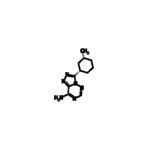 C[C@@H]1CCC[C@H](c2nnc3c(N)ncnn23)C1